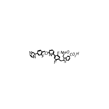 COCCn1c(Cc2cc(F)c(-c3cccc(OCc4ccc(-c5cnccn5)cc4F)n3)cc2F)nc2ccc(C(=O)O)cc21